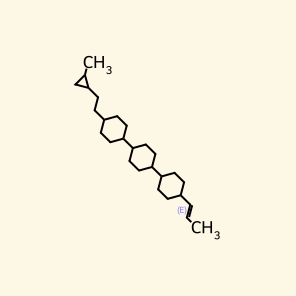 C/C=C/C1CCC(C2CCC(C3CCC(CCC4CC4C)CC3)CC2)CC1